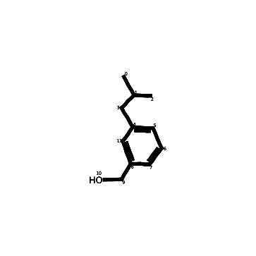 CC(C)Cc1cccc(CO)c1